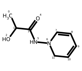 CC(O)C(=O)NN1C=CC=CC1